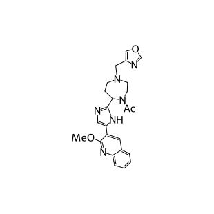 COc1nc2ccccc2cc1-c1cnc(C2CCN(Cc3cocn3)CCN2C(C)=O)[nH]1